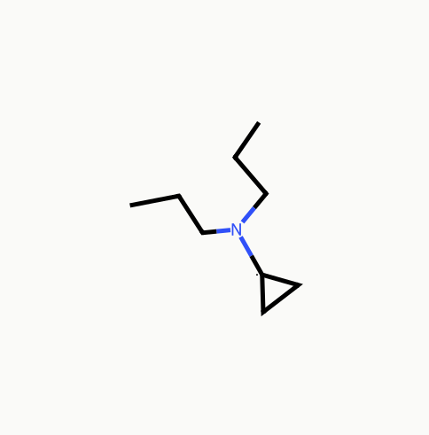 CCCN(CCC)[C]1CC1